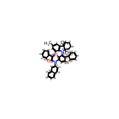 Cc1cc2c3c(c1)P1(=S)c4c(cc5sc6ccccc6c5c4N3C3(C)CCCCC23C)N(c2ccc3ccccc3c2)c2oc3ccccc3c21